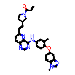 C=CC(=O)N1CCC(C=Cc2ccc3ncnc(Nc4ccc(Oc5ccc6c(c5)ncn6C)c(C)c4)c3n2)C1